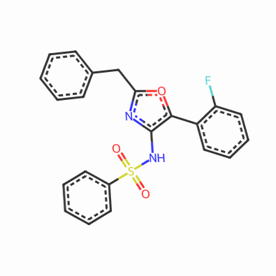 O=S(=O)(Nc1nc(Cc2ccccc2)oc1-c1ccccc1F)c1ccccc1